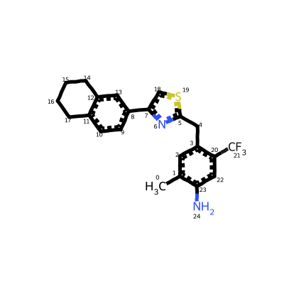 Cc1cc(Cc2nc(-c3ccc4c(c3)CCCC4)cs2)c(C(F)(F)F)cc1N